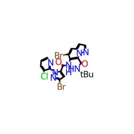 CC(C)(C)NC(=O)c1c(NC(=O)c2cc(Br)nn2-c2ncccc2Cl)c(Br)cc2ccnn12